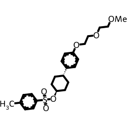 COCCOCCOc1ccc([C@H]2CC[C@H](OS(=O)(=O)c3ccc(C)cc3)CC2)cc1